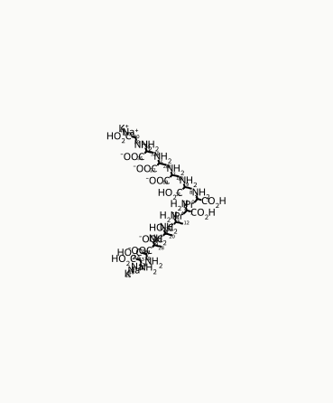 CC(C)C(N)C(=O)O.CC(C)C(N)C(=O)O.CC(N)C(=O)O.CC(N)C(=O)O.CC(N)C(=O)[O-].CC(N)C(=O)[O-].CC(N)C(=O)[O-].CC(N)C(=O)[O-].CC(N)C(=O)[O-].NCC(=O)O.NCC(=O)O.NCC(=O)O.[K+].[K+].[Na+].[Na+].[Na+]